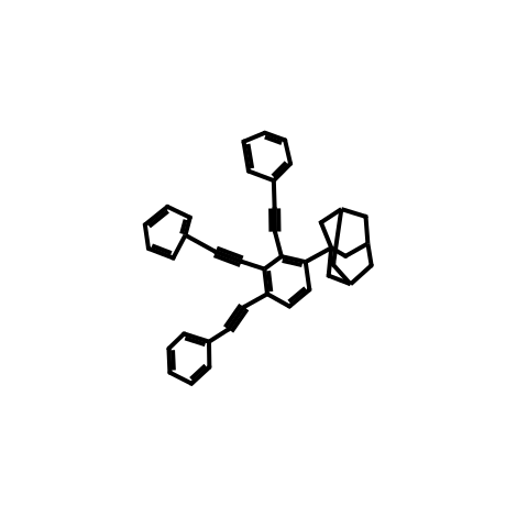 C(#Cc1ccc(C23CC4CC(CC(C4)C2)C3)c(C#Cc2ccccc2)c1C#Cc1ccccc1)c1ccccc1